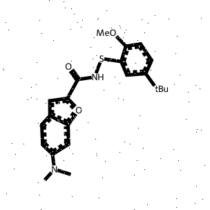 COc1ccc(C(C)(C)C)cc1SNC(=O)c1cc2ccc(N(C)C)cc2o1